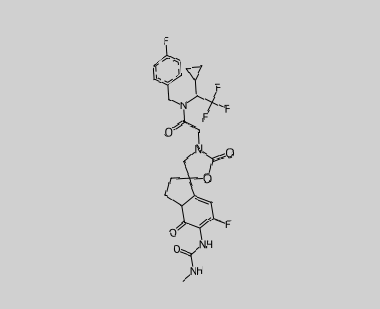 CNC(=O)NC1=C(F)C=C2C(CCC23CN(CC(=O)N(Cc2ccc(F)cc2)C(C2CC2)C(F)(F)F)C(=O)O3)C1=O